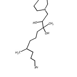 CC(C)CCCC(C)CCCC(C)(O)C(O)CN1CCSCC1